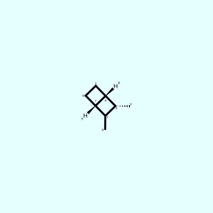 CC1[C@@H](C)[C@H]2CC[C@@H]12